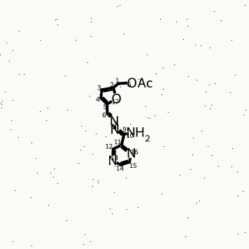 CC(=O)OCc1ccc(C=NN=C(N)c2cnccn2)o1